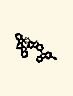 CC1(C)c2ccccc2-c2ccc3c4ccccc4n(-c4ccc5sc6ccc(-n7c8ccccc8c8cc(C#N)ccc87)cc6c5c4)c3c21